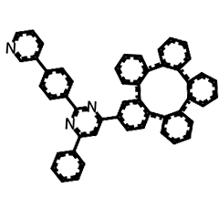 c1ccc(-c2cc(-c3ccc4c5ccccc5c5ccccc5c5ccccc5c5ccccc5c4c3)nc(-c3ccc(-c4cccnc4)cc3)n2)cc1